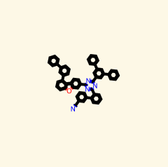 N#Cc1cccc(-c2ccccc2-c2nc(-c3cc(-c4ccccc4)cc(-c4ccccc4)c3)nc(-c3ccc4c(c3)oc3cccc(-c5cccc(-c6ccccc6)c5)c34)n2)c1